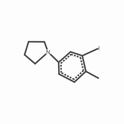 Cc1ccc(N2CCCC2)cc1I